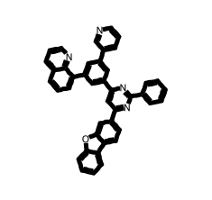 c1ccc(-c2nc(-c3cc(-c4cccnc4)cc(-c4cccc5cccnc45)c3)cc(-c3ccc4c(c3)oc3ccccc34)n2)cc1